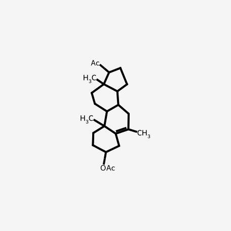 CC(=O)OC1CCC2(C)C(=C(C)CC3C2CCC2(C)C(C(C)=O)CCC32)C1